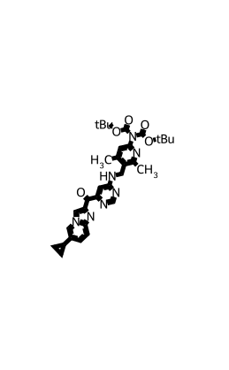 Cc1cc(N(C(=O)OC(C)(C)C)C(=O)OC(C)(C)C)nc(C)c1CNc1cc(C(=O)c2cn3cc(C4CC4)ccc3n2)ncn1